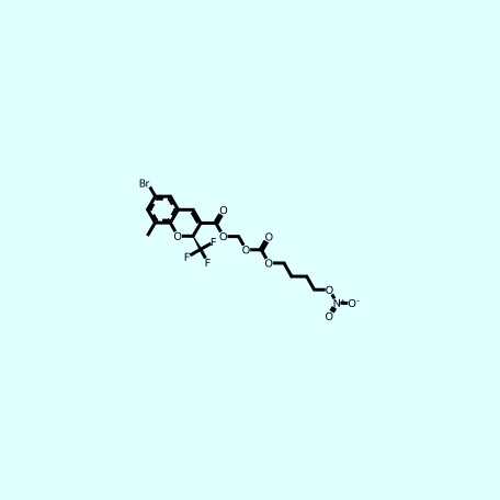 Cc1cc(Br)cc2c1O[C@H](C(F)(F)F)C(C(=O)OCOC(=O)OCCCCO[N+](=O)[O-])=C2